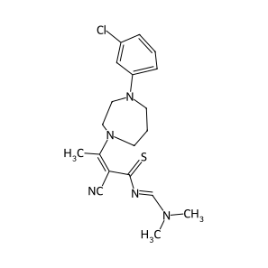 CC(=C(C#N)C(=S)N=CN(C)C)N1CCCN(c2cccc(Cl)c2)CC1